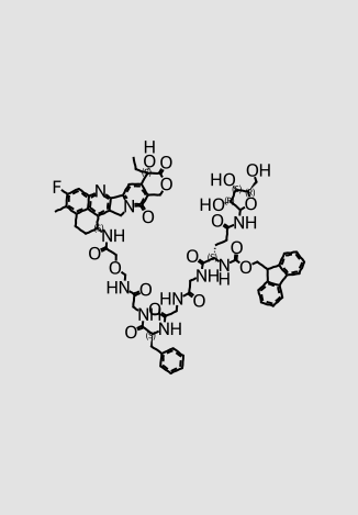 CC[C@@]1(O)C(=O)OCc2c1cc1n(c2=O)Cc2c-1nc1cc(F)c(C)c3c1c2[C@@H](NC(=O)COCNC(=O)CNC(=O)[C@H](Cc1ccccc1)NC(=O)CNC(=O)CNC(=O)[C@H](CCC(=O)NC1O[C@H](CO)[C@@H](O)[C@H]1O)NC(=O)OCC1c2ccccc2-c2ccccc21)CC3